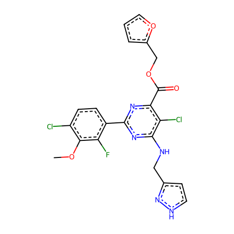 COc1c(Cl)ccc(-c2nc(NCc3cc[nH]n3)c(Cl)c(C(=O)OCc3ccco3)n2)c1F